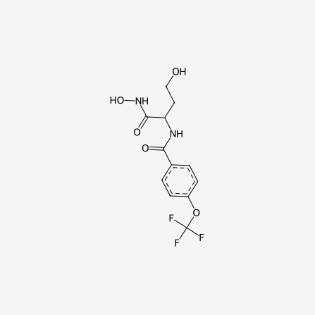 O=C(NC(CCO)C(=O)NO)c1ccc(OC(F)(F)F)cc1